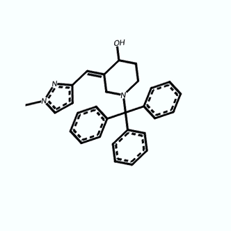 Cn1ccc(/C=C2\CN(C(c3ccccc3)(c3ccccc3)c3ccccc3)CCC2O)n1